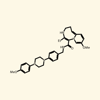 CC/C1=C(\C(=O)NCc2ccc(N3CCN(c4ccc(OC)cc4)CC3)cc2)N2C=C(OC)C=C/C2=C\CCN1